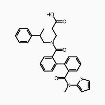 CC(CN(CCC(=O)O)C(=O)c1ccccc1-c1ccccc1C(=O)N(C)c1cccs1)c1ccccc1